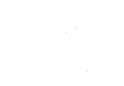 O=C1NC(=S)SC1=Cc1cc2cncc(-c3ccc(O)cc3)c2o1